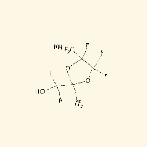 OC(F)(F)C1(C(F)(F)F)OC(F)(F)C(F)(C(F)(F)F)O1.[KH]